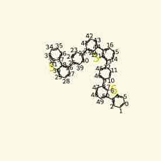 c1ccc2c(c1)sc1c(-c3ccc(-c4cccc5c4sc4c(-c6ccc(-c7cccc8sc9ccccc9c78)cc6)cccc45)cc3)cccc12